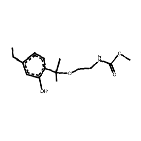 CCc1ccc(C(C)(C)OCCNC(=O)OC)c(O)c1